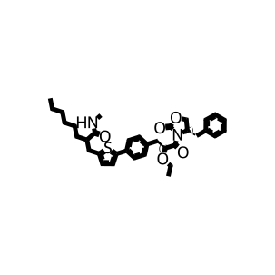 CCCCCCC(Cc1ccc(-c2ccc(C[C@H](OCC)C(=O)N3C(=O)OC[C@@H]3Cc3ccccc3)cc2)s1)C(=O)NC